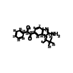 CC(n1c(N)nc2ccc(C(=O)C(=O)c3ccccc3)cc21)C(C)(C)C